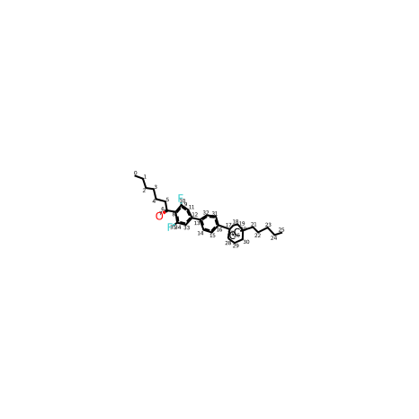 CCCCCCC(=O)c1c(F)cc(-c2ccc(C3CCC4(CCCCC)CCC3CC4)cc2)cc1F